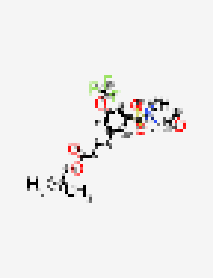 CC(C)COC(=O)CCCc1cc(OC(F)(F)F)cc(S(=O)(=O)N(C)C[C@H]2CO2)c1